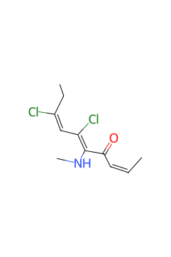 C/C=C\C(=O)/C(NC)=C(Cl)/C=C(/Cl)CC